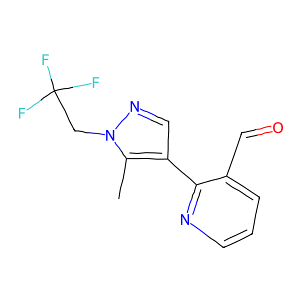 Cc1c(-c2ncccc2C=O)cnn1CC(F)(F)F